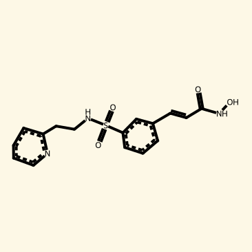 O=C(/C=C/c1cccc(S(=O)(=O)NCCc2ccccn2)c1)NO